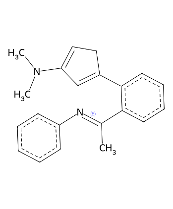 C/C(=N\c1ccccc1)c1ccccc1C1=CC(N(C)C)=CC1